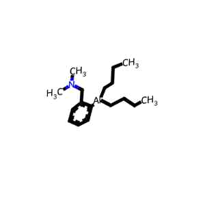 CCC[CH2][Al]([CH2]CCC)[c]1ccccc1CN(C)C